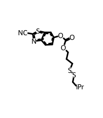 CC(C)CSSCCCOC(=O)Oc1ccc2nc(C#N)sc2c1